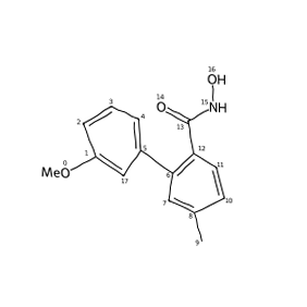 COc1cccc(-c2cc(C)ccc2C(=O)NO)c1